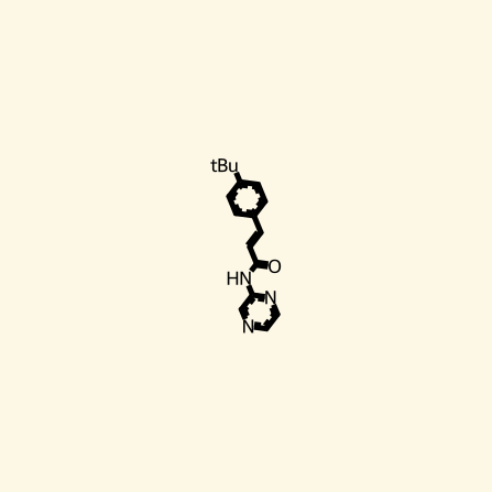 CC(C)(C)c1ccc(/C=C/C(=O)Nc2cnccn2)cc1